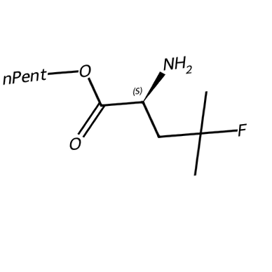 CCCCCOC(=O)[C@@H](N)CC(C)(C)F